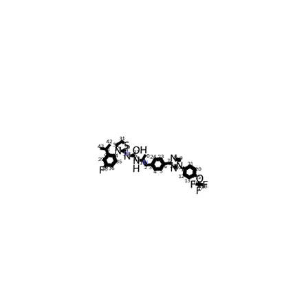 C/C(=C\c1ccc(-c2ncn(-c3ccc(OC(F)(F)F)cc3)n2)cc1)NC(O)/N=C1\SCCN1c1ccc(F)cc1C(C)C